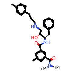 CCCN(CCC)C(=O)c1cc(C)cc(C(=O)N[C@@H](Cc2ccccc2)[C@H](O)CNCCCc2ccc(C)cc2)c1